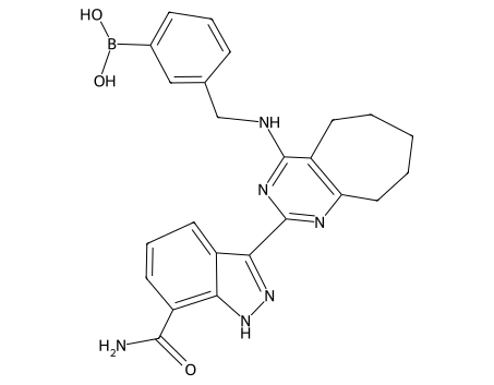 NC(=O)c1cccc2c(-c3nc4c(c(NCc5cccc(B(O)O)c5)n3)CCCCC4)n[nH]c12